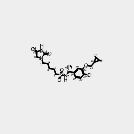 CC(C)[C@@H](NS(=O)(=O)CCCCCN1CC(=O)NC1=O)c1ccc(Cl)c(OCC2CC2)c1